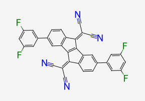 N#CC(C#N)=C1C2=C(C(=C(C#N)C#N)c3ccc(-c4cc(F)cc(F)c4)cc32)c2cc(-c3cc(F)cc(F)c3)ccc21